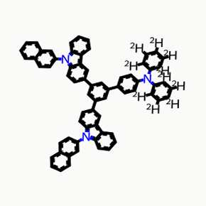 [2H]c1c([2H])c([2H])c(N(c2ccc(-c3cc(-c4ccc5c(c4)c4ccccc4n5-c4ccc5ccccc5c4)cc(-c4ccc5c(c4)c4ccccc4n5-c4ccc5ccccc5c4)c3)cc2)c2c([2H])c([2H])c([2H])c([2H])c2[2H])c([2H])c1[2H]